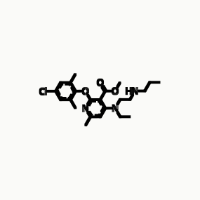 CCCNCCN(CC)c1cc(C)nc(Oc2c(C)cc(Cl)cc2C)c1C(=O)OC